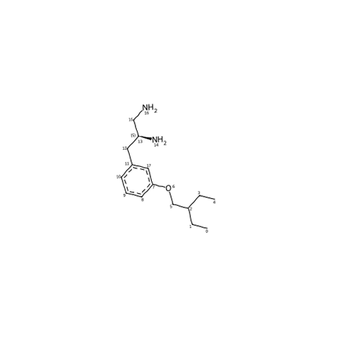 CCC(CC)COc1cccc(C[C@H](N)CN)c1